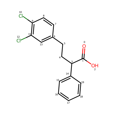 O=C(O)C(CCc1ccc(Cl)c(Cl)c1)c1ccccc1